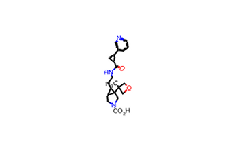 CC1(C23CN(C(=O)O)CC2C3CCNC(=O)C2CC2c2cccnc2)COC1